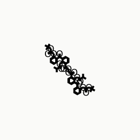 CC(C)C(=O)Oc1c(C(=O)OOC(=O)c2cccc(C(=O)c3ccccc3OC(=O)OC(C)(C)C)c2OC(=O)C(C)C)cccc1C(=O)c1ccccc1OC(=O)OC(C)(C)C